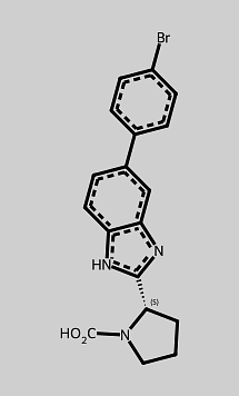 O=C(O)N1CCC[C@H]1c1nc2cc(-c3ccc(Br)cc3)ccc2[nH]1